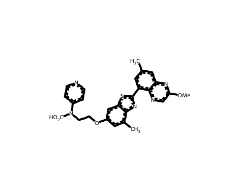 COc1cnc2c(-c3nc4c(C)cc(OCCN(C(=O)O)c5ccncc5)cc4s3)cc(C)cc2n1